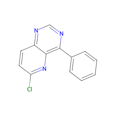 Clc1ccc2ncnc(-c3ccccc3)c2n1